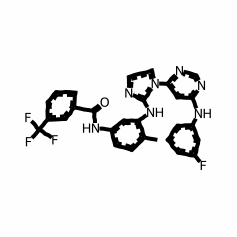 Cc1ccc(NC(=O)c2cccc(C(F)(F)F)c2)cc1Nc1nccn1-c1cc(Nc2cccc(F)c2)ncn1